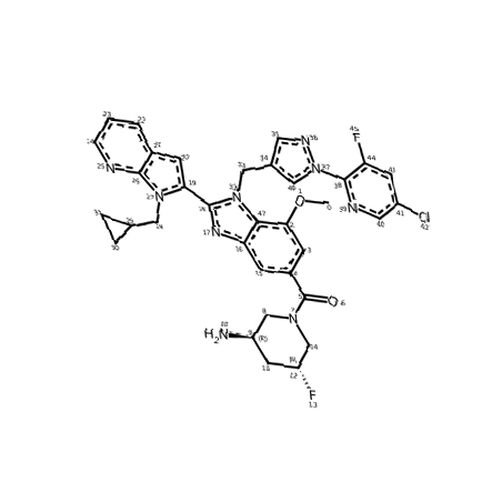 COc1cc(C(=O)N2C[C@H](N)C[C@@H](F)C2)cc2nc(-c3cc4cccnc4n3CC3CC3)n(Cc3cnn(-c4ncc(Cl)cc4F)c3)c12